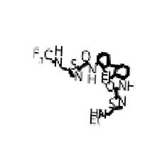 CCNCc1cnc(C(=O)Nc2cccc(-c3cccc(NC(=O)c4ncc(CNCC(F)(F)F)s4)c3Cl)c2Cl)s1